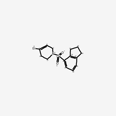 CCC1=CCN(S(=O)(=O)c2cccc3c2CCC3)CC1